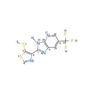 CSc1scnc1-c1nc2cc(C(F)(F)F)cnc2n1C